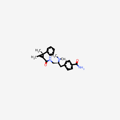 CC1=C(C(=O)NC[C@H](Cc2ccc(C(N)=O)cc2)N(C)C)[C@@]1(C)c1ccccc1